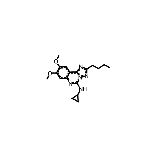 CCCCc1nc2c3cc(OC)c(OC)cc3nc(NC3CC3)n2n1